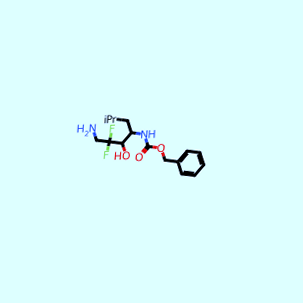 CC(C)CC(NC(=O)OCc1ccccc1)C(O)C(F)(F)CN